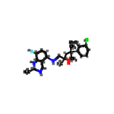 COc1c(Cl)cccc1C(C)(C)CC(O)(/C=N/c1ccc(F)c2nc(C)ncc12)C(F)(F)F